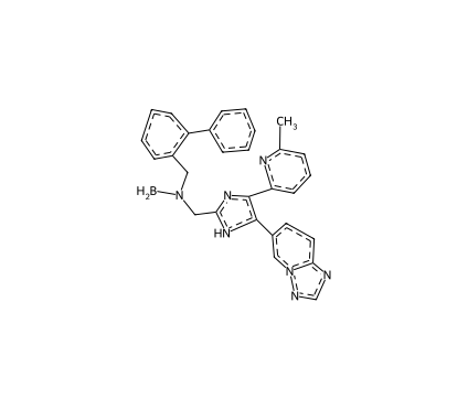 BN(Cc1nc(-c2cccc(C)n2)c(-c2ccc3ncnn3c2)[nH]1)Cc1ccccc1-c1ccccc1